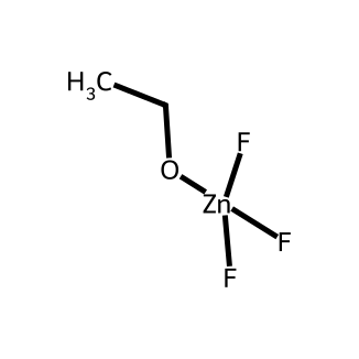 CC[O][Zn]([F])([F])[F]